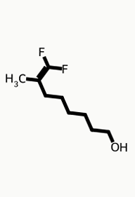 CC(CCCCCCO)=C(F)F